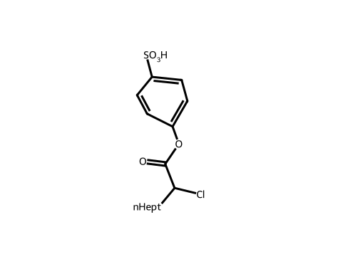 CCCCCCCC(Cl)C(=O)Oc1ccc(S(=O)(=O)O)cc1